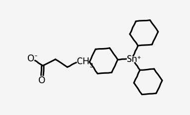 C1CC[CH]([Sn+]([CH]2CCCCC2)[CH]2CCCCC2)CC1.CCCC(=O)[O-]